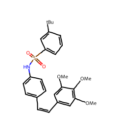 COc1cc(/C=C\c2ccc(NS(=O)(=O)c3cccc(C(C)(C)C)c3)cc2)cc(OC)c1OC